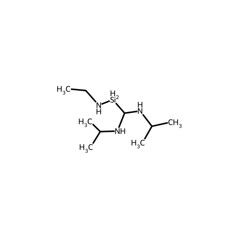 CCN[SiH2]C(NC(C)C)NC(C)C